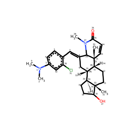 CN(C)c1ccc(C=C2C[C@@H]3[C@@H](CC[C@]4(C)C(O)CC[C@@H]34)[C@@]3(C)C=CC(=O)N(C)C23)c(Cl)c1